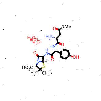 CNC(=O)C[C@@H](N)C(=O)N[C@@H](C(=O)N[C@@H]1C(=O)N2[C@@H]1SC(C)(C)[C@@H]2C(=O)O)c1ccc(O)cc1.O.O.O